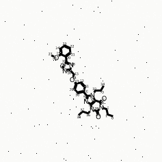 CCCn1c(=O)c2c(nc(-c3ccc(OCc4noc(-c5ccccc5OC)n4)cc3)n2CCC)n(CCC)c1=O